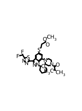 COC(=O)CCSc1cc(N2CCN(C(=O)C(C)C)CC2)c2c(c1)c(-c1nnc(C(F)F)s1)nn2C1CCCCO1